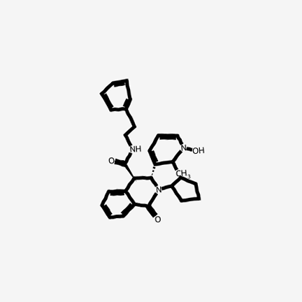 CC1C([C@H]2[C@H](C(=O)NCCc3ccccc3)c3ccccc3C(=O)N2C2CCCC2)=CC=CN1O